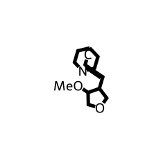 COC1COCC1C=C1CC2CCN1CC2